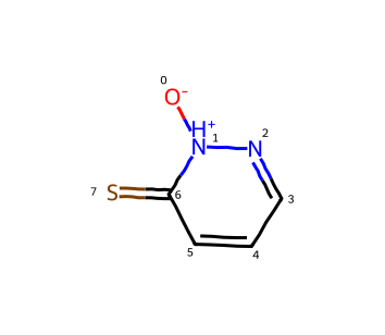 [O-][NH+]1N=CC=CC1=S